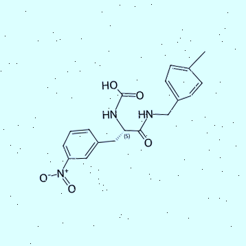 Cc1ccc(CNC(=O)[C@H](Cc2cccc([N+](=O)[O-])c2)NC(=O)O)cc1